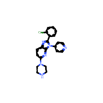 Clc1ccccc1-c1nc2ccc(N3CCNCC3)nc2n1-c1ccncc1